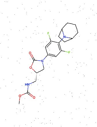 COC(=O)NC[C@H]1CN(c2cc(F)c(N3C4CCCC3CC4)c(F)c2)C(=O)O1